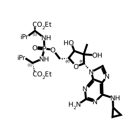 CCOC(=O)[C@@H](NP(=O)(N[C@H](C(=O)OCC)C(C)C)OC[C@H]1O[C@@H](n2cnc3c(NC4CC4)nc(N)nc32)C(C)(O)C1O)C(C)C